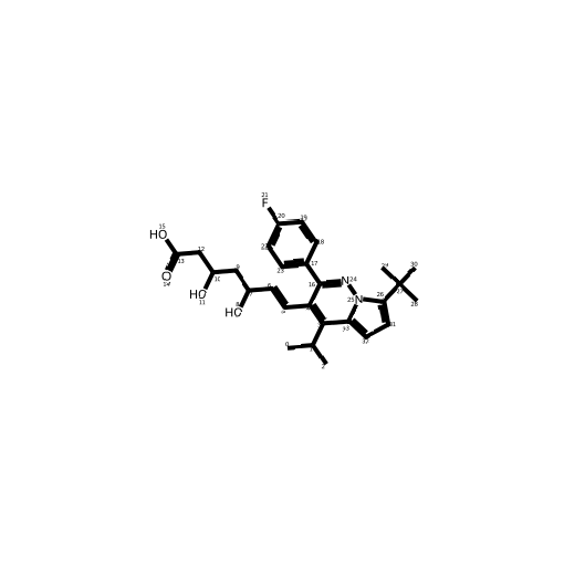 CC(C)c1c(/C=C/C(O)CC(O)CC(=O)O)c(-c2ccc(F)cc2)nn2c(C(C)(C)C)ccc12